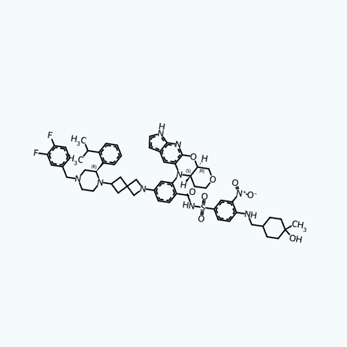 CC(C)c1ccccc1[C@@H]1CN(Cc2ccc(F)c(F)c2)CCN1C1CC2(C1)CN(c1ccc(C(=O)NS(=O)(=O)c3ccc(NCC4CCC(C)(O)CC4)c([N+](=O)[O-])c3)c(N3c4cc5cc[nH]c5nc4O[C@H]4COCC[C@@H]43)c1)C2